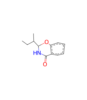 CCC(C)C1NC(=O)c2ccccc2O1